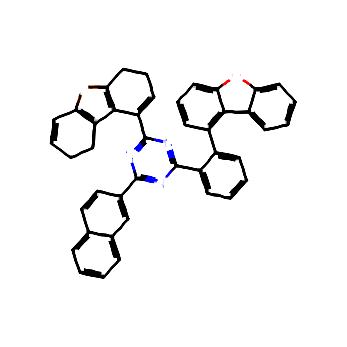 C1=Cc2sc3c(c2CC1)C(c1nc(-c2ccc4ccccc4c2)nc(-c2ccccc2-c2cccc4oc5ccccc5c24)n1)=CCC3